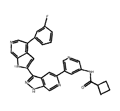 O=C(Nc1cncc(-c2cc3c(-c4cc5c(-c6cccc(F)c6)cncc5[nH]4)n[nH]c3cn2)c1)C1CCC1